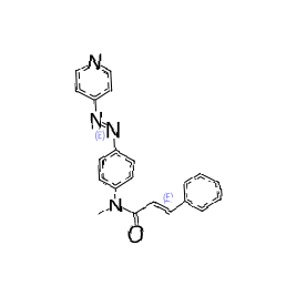 CN(C(=O)/C=C/c1ccccc1)c1ccc(/N=N/c2ccncc2)cc1